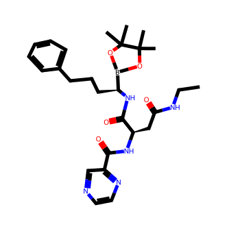 CCNC(=O)C[C@@H](NC(=O)c1cnccn1)C(=O)N[C@@H](CCCc1ccccc1)B1OC(C)(C)C(C)(C)O1